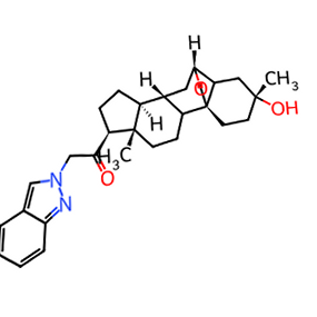 C[C@@]1(O)CC[C@]23CO[C@H](C[C@@H]4C2CC[C@]2(C)[C@@H](C(=O)Cn5cc6ccccc6n5)CC[C@@H]42)C3C1